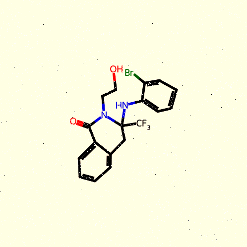 O=C1c2ccccc2CC(Nc2ccccc2Br)(C(F)(F)F)N1CCO